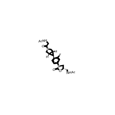 CC(=O)NCC(=O)N1C[C@@H]2[C@H](C1)[C@H]2c1ccc(N2C[C@H](CNC(C)=O)OC2=O)cc1F